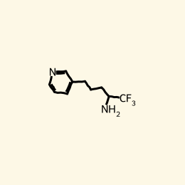 NC(CCCc1cccnc1)C(F)(F)F